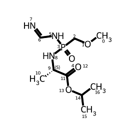 COCP(=O)(NC=N)N[C@@H](C)C(=O)OC(C)C